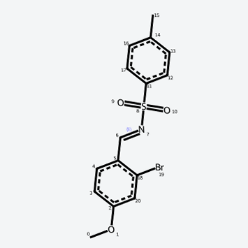 COc1ccc(/C=N/S(=O)(=O)c2ccc(C)cc2)c(Br)c1